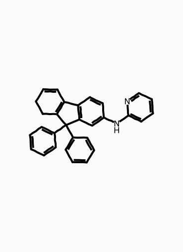 C1=CC2=C(CC1)C(c1ccccc1)(c1ccccc1)c1cc(Nc3ccccn3)ccc12